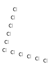 [C].[C].[C].[C].[C].[C].[C].[C].[C].[C].[C]